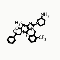 Cn1c(=O)n(CC(=O)c2ccccc2)c(=O)c2c1nc(N1CCCC(N)C1)n2Cc1ccccc1C(F)(F)F